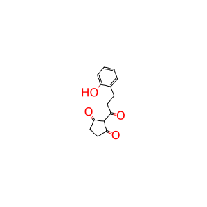 O=C1CCC(=O)C1C(=O)CCc1ccccc1O